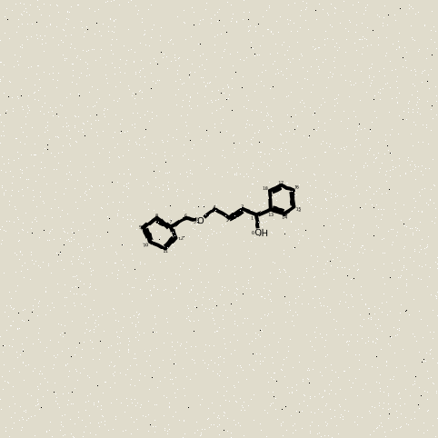 OC(/C=C/COCc1ccccc1)c1ccccc1